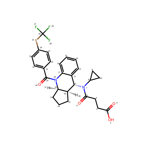 O=C(O)CCC(=O)N(C1CC1)[C@H]1c2ccccc2N(C(=O)c2ccc(SC(F)(F)F)cc2)[C@@H]2CCC[C@@H]21